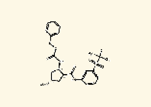 CO[C@H]1C[C@H](C(=O)Nc2cccc(S(=O)(=O)C(C)(C)I)c2)[C@H](NC(=O)OCc2ccccc2)C1